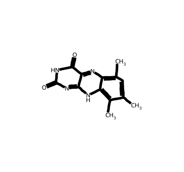 Cc1cc(C)c2nc3c(=O)[nH]c(=O)nc-3[nH]c2c1C